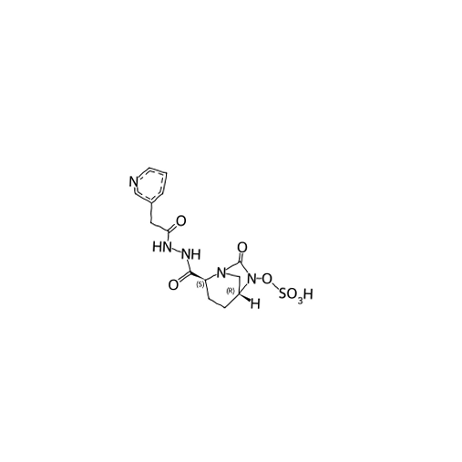 O=C(Cc1cccnc1)NNC(=O)[C@@H]1CC[C@@H]2CN1C(=O)N2OS(=O)(=O)O